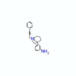 Nc1cccc(C23CCCC(C2)N(CC#Cc2ccccc2)CC3)c1